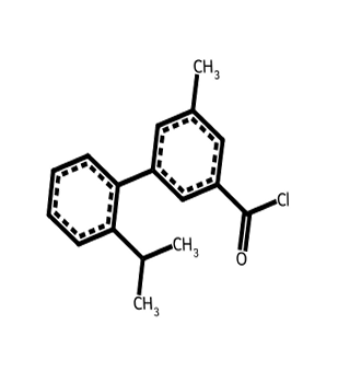 Cc1cc(C(=O)Cl)cc(-c2ccccc2C(C)C)c1